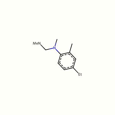 CCc1ccc(N(C)CNC)c(C)c1